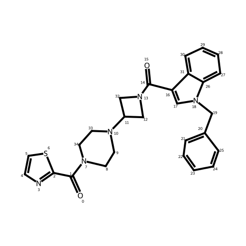 O=C(c1nccs1)N1CCN(C2CN(C(=O)c3cn(Cc4ccccc4)c4ccccc34)C2)CC1